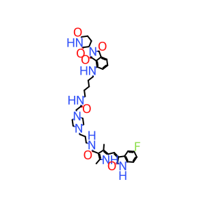 Cc1[nH]c(C=C2C(=O)Nc3ccc(F)cc32)c(C)c1C(=O)NCCCN1CCN(CC(=O)NCCCCCNc2cccc3c2C(=O)N(C2CCC(=O)NC2=O)C3=O)CC1